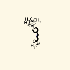 COC(=O)C/C=C/C1CCN(C(=O)OC(C)(C)C)CC1